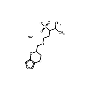 CC(C)C(CCOCC1COc2cscc2O1)S(=O)(=O)[O-].[Na+]